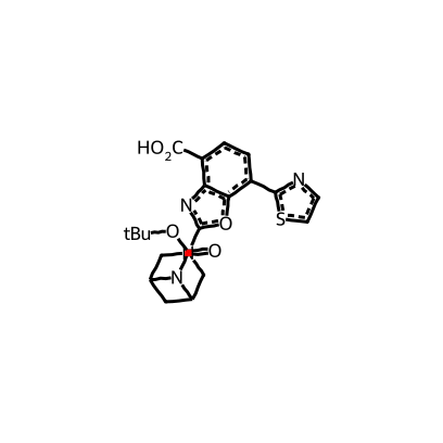 CC(C)(C)OC(=O)N1C2CC1CN(c1nc3c(C(=O)O)ccc(-c4nccs4)c3o1)C2